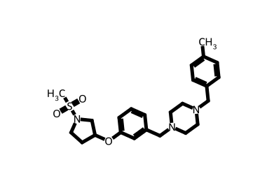 Cc1ccc(CN2CCN(Cc3cccc(OC4CCN(S(C)(=O)=O)C4)c3)CC2)cc1